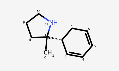 CC1([C@H]2C=CC=CC2)CCCN1